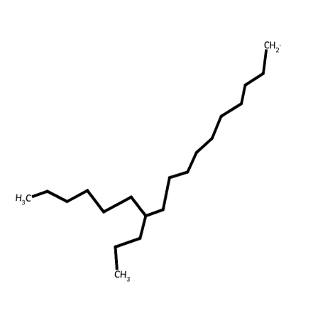 [CH2]CCCCCCCCCC(CCC)CCCCCC